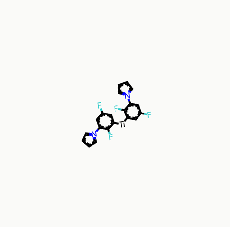 Fc1c[c]([Ti][c]2cc(F)cc(-n3cccc3)c2F)c(F)c(-n2cccc2)c1